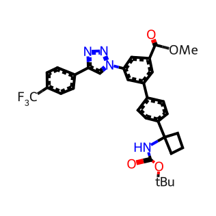 COC(=O)c1cc(-c2ccc(C3(NC(=O)OC(C)(C)C)CCC3)cc2)cc(-n2cc(-c3ccc(C(F)(F)F)cc3)nn2)c1